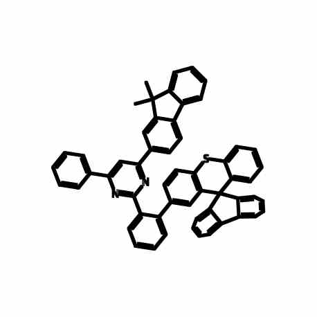 CC1(C)c2ccccc2-c2ccc(-c3cc(-c4ccccc4)nc(-c4ccccc4-c4ccc5c(c4)C4(c6ccccc6S5)c5ccccc5-c5ccccc54)n3)cc21